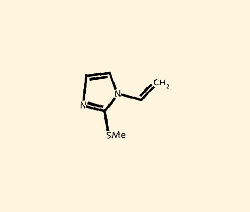 C=Cn1ccnc1SC